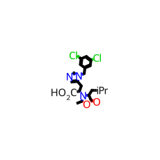 CC(C)CC1C(=O)OC(C)N1C(Cc1cncn1Cc1cc(Cl)cc(Cl)c1)C(=O)O